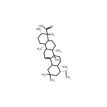 CO[C@@H]1CC(C)(C)CC2C3=CCC4[C@@]5(C)CC[C@H](O)[C@](C)(C(=O)O)C5CC[C@@]4(C)[C@]3(C)CC[C@]21C